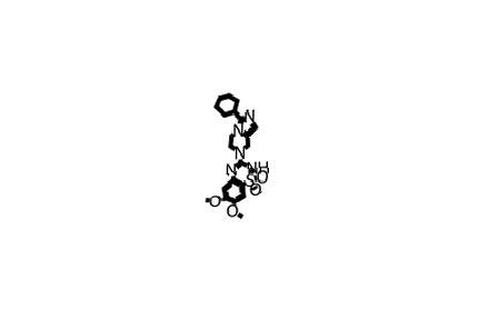 COc1cc2c(cc1OC)S(=O)(=O)NC(N1CCn3c(cnc3C3CCCCC3)C1)=N2